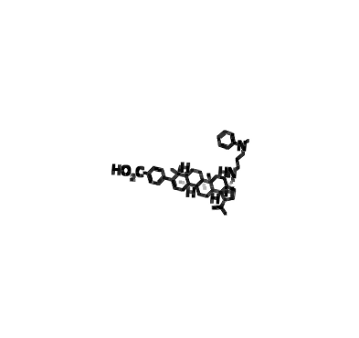 C=C(C)[C@@H]1CC[C@]2(CNCCCN(C)c3ccccc3)CC[C@]3(C)[C@H](CC[C@@H]4[C@@]5(C)CC=C(c6ccc(C(=O)O)cc6)C(C)(C)[C@@H]5CC[C@]43C)[C@@H]12